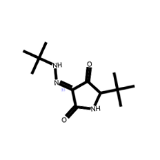 CC(C)(C)N/N=C1/C(=O)NC(C(C)(C)C)C1=O